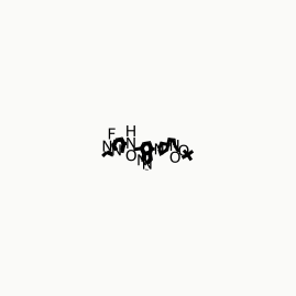 Cc1cn2cc(NC(=O)c3ccc(N4CCC5(CCN5C(=O)OC(C)(C)C)C4)c4cn(C)nc34)cc(F)c2n1